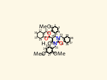 COc1cccc(C2C(C(=O)OCC3CCCCC3)=C(C)N(Cc3ccc(OC)cc3OC)C(=O)N2Cc2ccccc2)c1